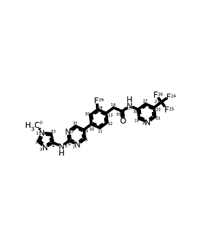 Cn1cnc(Nc2ncc(-c3ccc(CC(=O)Nc4cncc(C(F)(F)F)c4)c(F)c3)cn2)c1